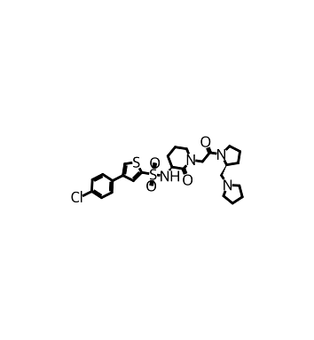 O=C1[C@@H](NS(=O)(=O)c2cc(-c3ccc(Cl)cc3)cs2)CCCN1CC(=O)N1CCC[C@H]1CN1CCCC1